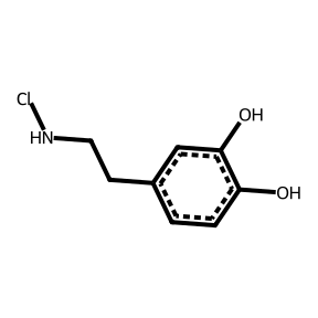 Oc1ccc(CCNCl)cc1O